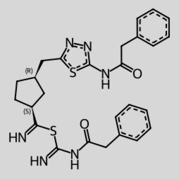 N=C(NC(=O)Cc1ccccc1)SC(=N)[C@H]1CC[C@@H](Cc2nnc(NC(=O)Cc3ccccc3)s2)C1